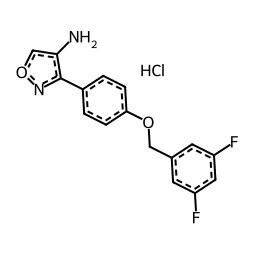 Cl.Nc1conc1-c1ccc(OCc2cc(F)cc(F)c2)cc1